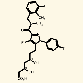 Cc1c(F)cccc1CN(C)C(=O)c1nn(-c2ccc(F)cc2)c(CC[C@@H](O)C[C@@H](O)CC(=O)O)c1C(C)C